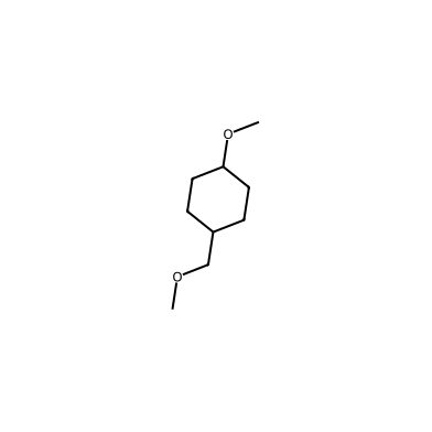 COCC1CCC(OC)CC1